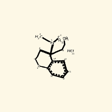 CN(C)C1(CO)CCOc2ccccc21.Cl